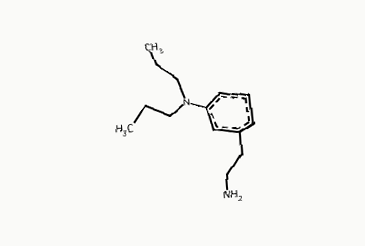 CCCN(CCC)c1cccc(CCN)c1